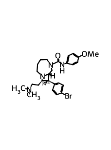 COc1ccc(NC(=O)N2CCCCN3[C@H](CCN(C)C)[C@H](c4ccc(Br)cc4)[C@@H]3C2)cc1